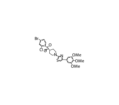 COc1cc(-c2csc(N3CCC(S(=O)(=O)c4ccc(Br)cc4Cl)CC3)n2)cc(OC)c1OC